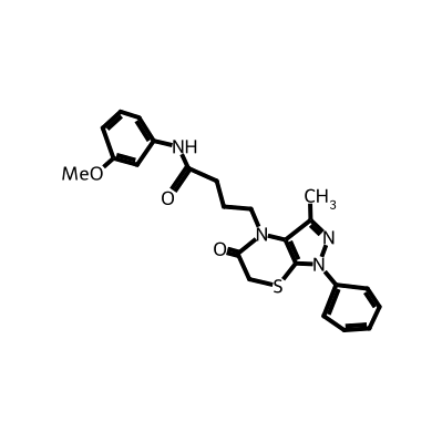 COc1cccc(NC(=O)CCCN2C(=O)CSc3c2c(C)nn3-c2ccccc2)c1